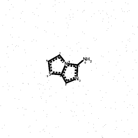 Nc1ncc2sccn12